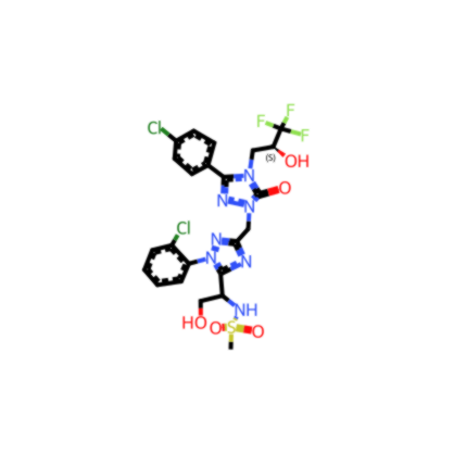 CS(=O)(=O)NC(CO)c1nc(Cn2nc(-c3ccc(Cl)cc3)n(C[C@H](O)C(F)(F)F)c2=O)nn1-c1ccccc1Cl